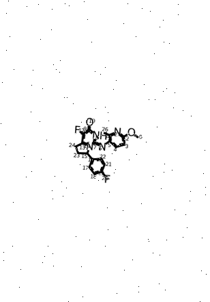 COc1ccc(/N=c2\[nH]c(=O)c(F)c3n2C(c2ccc(F)cc2)CC3)c(C)n1